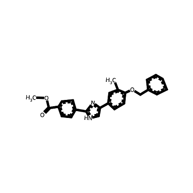 COC(=O)c1ccc(-c2nc(-c3ccc(OCc4ccccc4)c(C)c3)c[nH]2)cc1